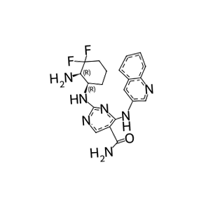 NC(=O)c1cnc(N[C@@H]2CCCC(F)(F)[C@@H]2N)nc1Nc1cnc2ccccc2c1